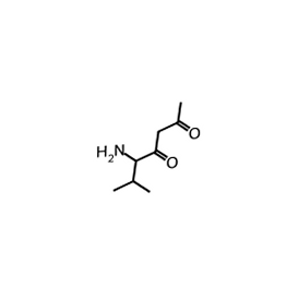 CC(=O)CC(=O)C(N)C(C)C